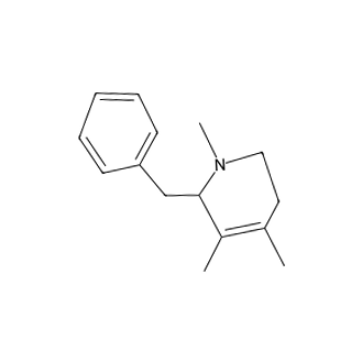 CC1=C(C)C(Cc2ccccc2)N(C)CC1